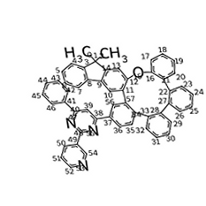 CC1(C)c2ccccc2-c2cc3c(cc21)Oc1ccccc1-c1ccccc1-c1ccccc1-c1ccc(-c2cc(-c4ccccc4)nc(-c4cccnc4)n2)cc1-3